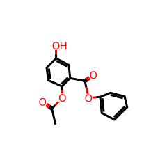 CC(=O)Oc1ccc(O)cc1C(=O)Oc1ccccc1